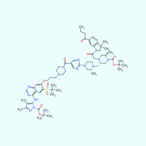 CCCC(=O)c1cnc2c(c1)N(C(=O)CN1C[C@@H](C)N(C(=O)OC(C)(C)C)C[C@@H]1CN1CCN(c3ncc(C(=O)N4CCN(CCCOc5cc6ncnc(Nc7c(C)c(C)nn7C(=O)OC(C)(C)C)c6cc5S(=O)(=O)C(C)(C)C)CC4)cn3)C[C@H]1C)CC2(C)C